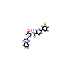 O=C(NC1CN(c2cnc3ccccc3n2)CC1O)c1ccc(-c2cccc(F)c2)nc1